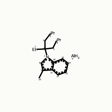 [AlH3].[CH2]CC(CC(C)C)(CC(C)C)n1cc(C)c2ccccc21